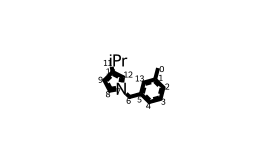 Cc1cccc(Cn2ccc(C(C)C)c2)c1